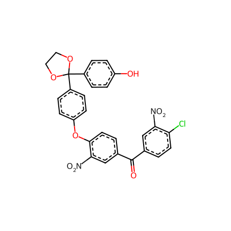 O=C(c1ccc(Cl)c([N+](=O)[O-])c1)c1ccc(Oc2ccc(C3(c4ccc(O)cc4)OCCO3)cc2)c([N+](=O)[O-])c1